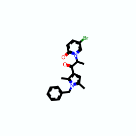 Cc1cc(C(=O)C(C)n2cc(Br)ccc2=O)c(C)n1Cc1ccccc1